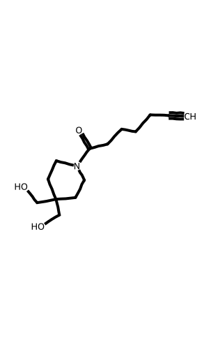 C#CCCCCC(=O)N1CCC(CO)(CO)CC1